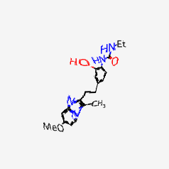 CCNC(=O)Nc1ccc(CCc2nc3cc(OC)ccn3c2C)cc1O